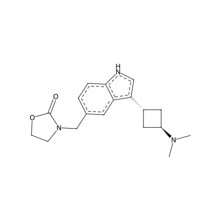 CN(C)[C@H]1C[C@H](c2c[nH]c3ccc(CN4CCOC4=O)cc32)C1